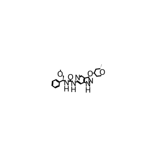 COC[C@@H](NC(=O)Nc1cc2[nH]nc(O[C@@H]3CCO[C@@H](C)C3)c2cn1)c1ccccc1